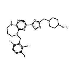 NC1CCN(Cc2nnc(-c3cnc4c(n3)N(Cc3c(F)ccc(F)c3Cl)CCCN4)o2)CC1